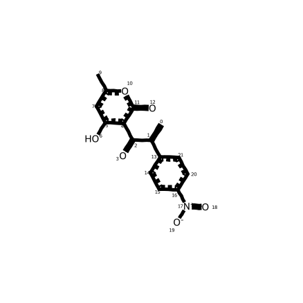 C=C(C(=O)c1c(O)cc(C)oc1=O)c1ccc([N+](=O)[O-])cc1